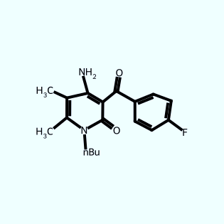 CCCCn1c(C)c(C)c(N)c(C(=O)c2ccc(F)cc2)c1=O